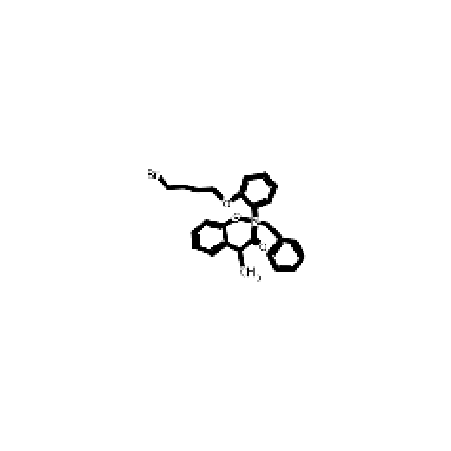 CC1C(=O)[N+](Cc2ccccc2)(c2ccccc2OCCCCBr)Sc2ccccc21